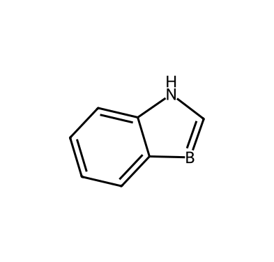 b1c[nH]c2ccccc12